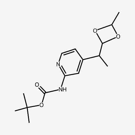 CC1OC(C(C)c2ccnc(NC(=O)OC(C)(C)C)c2)O1